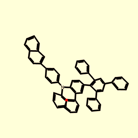 c1ccc(-c2cc(-c3ccccc3)c(-c3ccc(N(c4ccccc4)c4ccc(-c5ccc6ccccc6c5)cc4)c(-c4ccccc4)c3)c(-c3ccccc3)c2)cc1